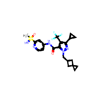 CS(=N)(=O)c1cc(NC(=O)c2c(C(F)(F)F)c(C3CC3)nn2CC2CC3(CC3)C2)ccn1